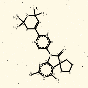 CC1(C)C=C(c2ncc(N3C(=O)C4(CCCC4)c4c(Cl)nc(Cl)nc43)cn2)CC(C)(C)O1